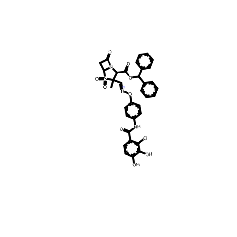 CC1(/C=N/Oc2ccc(NC(=O)c3ccc(O)c(O)c3Cl)cc2)C(C(=O)OC(c2ccccc2)c2ccccc2)N2C(=O)CC2S1(=O)=O